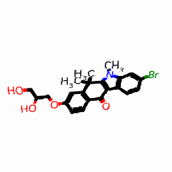 Cn1c2c(c3ccc(Br)cc31)C(=O)c1ccc(OCC(O)CO)cc1C2(C)C